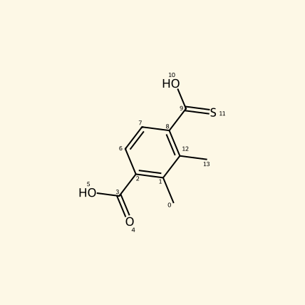 Cc1c(C(=O)O)ccc(C(O)=S)c1C